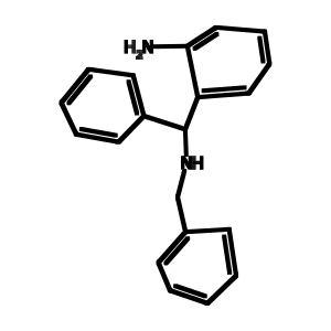 Nc1ccccc1C(NCc1ccccc1)c1ccccc1